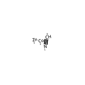 C#N.[Co].[Zn]